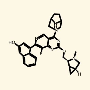 CN1C[C@@H]2CC2[C@H]1COc1nc(N2CC3CCC(C2)N3)c2cnc(-c3cc(O)cc4ccccc34)c(F)c2n1